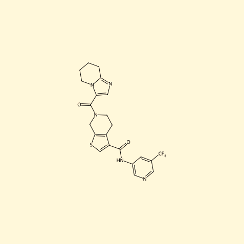 O=C(Nc1cncc(C(F)(F)F)c1)c1csc2c1CCN(C(=O)c1cnc3n1CCCC3)C2